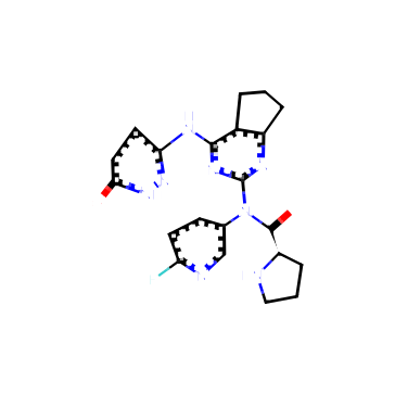 O=C([C@H]1CCCN1)N(c1ccc(F)nc1)c1nc2c(c(Nc3ccc(=O)[nH]n3)n1)CCC2